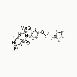 COc1cc(OCCCN2CCCC2)ccc1-n1c(C)nc2cnc(F)cc2c1=O